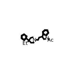 CCC1(c2ccccc2)CCN(CCC2CN(C(C)=O)c3ccccc32)CC1